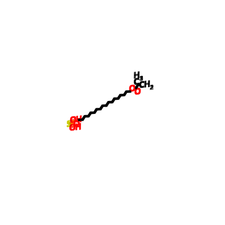 C=C(C)C(=O)OCCCCCCCCCCCCCCCCCCOP(O)(O)=S